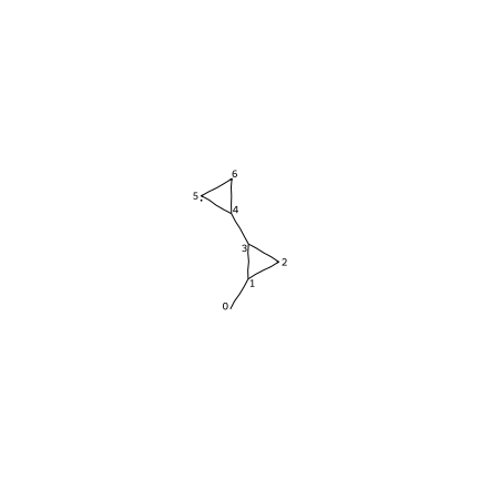 CC1CC1C1[CH]C1